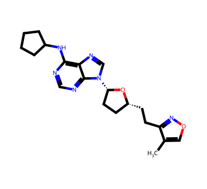 Cc1conc1CC[C@@H]1CC[C@H](n2cnc3c(NC4CCCC4)ncnc32)O1